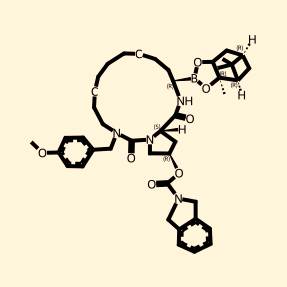 COc1ccc(CN2CCCCCCCCC[C@@H](B3OC4C[C@H]5C[C@H](C5(C)C)[C@@]4(C)O3)NC(=O)[C@@H]3C[C@@H](OC(=O)N4Cc5ccccc5C4)CN3C2=O)cc1